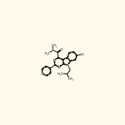 CC(C)Cn1c2cc(Cl)ccc2c2c(C(=O)N(C)C)nc(-c3ccncc3)nc21